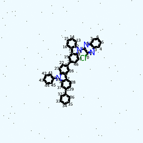 Clc1nc2ccccc2nc1-n1c2ccccc2c2cc(-c3ccc4c(c3)c3ccc(-c5ccccc5)cc3n4-c3ccccc3)ccc21